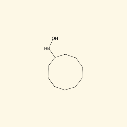 OBC1CCCCCCCCC1